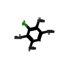 COc1cc(OC)c(OC)c(Br)c1OC